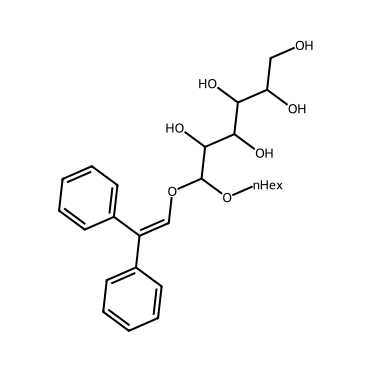 CCCCCCOC(OC=C(c1ccccc1)c1ccccc1)C(O)C(O)C(O)C(O)CO